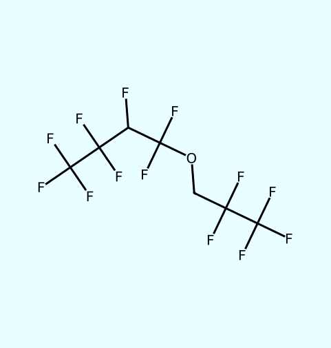 FC(C(F)(F)OCC(F)(F)C(F)(F)F)C(F)(F)C(F)(F)F